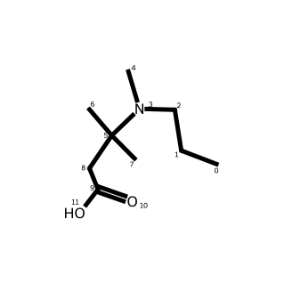 CCCN(C)C(C)(C)CC(=O)O